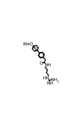 COC12CCC(c3ccc(CC(=O)N[CH]CCCNC(=N)N)cc3)(CC1)CC2